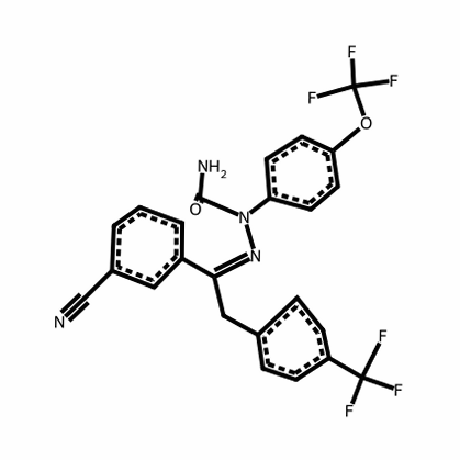 N#Cc1cccc(C(Cc2ccc(C(F)(F)F)cc2)=NN(C(N)=O)c2ccc(OC(F)(F)F)cc2)c1